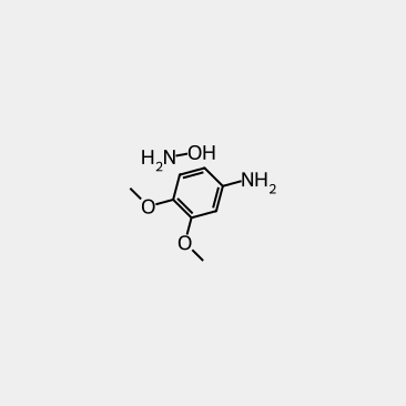 COc1ccc(N)cc1OC.NO